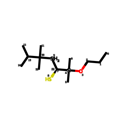 CCCO[Si](C)(C)[C@@H](S)[SiH2]C(C)(C)C(C)C